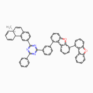 C[C@@]12C=CC=CC1c1cc(-c3nc(-c4ccccc4)nc(-c4cccc(-c5cccc6oc7c(-c8cccc9oc%10ccccc%10c89)cccc7c56)c4)n3)ccc1C=C2